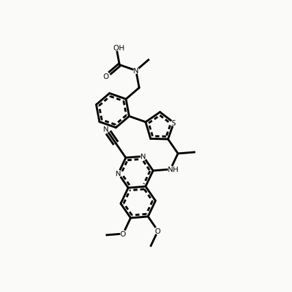 COc1cc2nc(C#N)nc(NC(C)c3cc(-c4ccccc4CN(C)C(=O)O)cs3)c2cc1OC